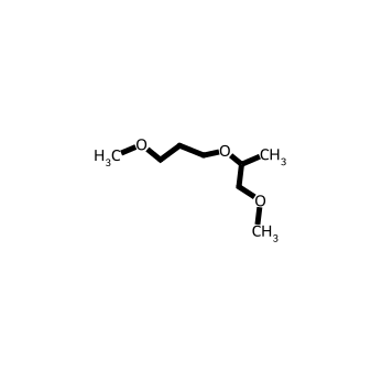 COCCCOC(C)COC